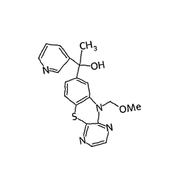 COCN1c2cc(C(C)(O)c3cccnc3)ccc2Sc2nccnc21